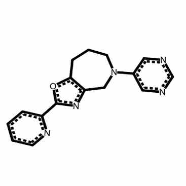 c1ccc(-c2nc3c(o2)CCCN(c2cncnc2)C3)nc1